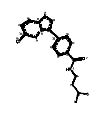 CC(C)CCNC(=O)c1ccc(-c2cnc3ccc(Cl)nn23)cc1